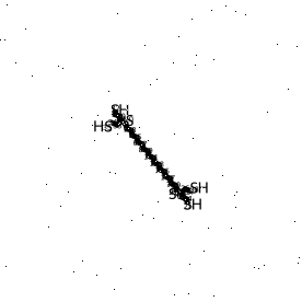 S=C(CCCCCCCCCCCCCCCCCCC(=S)N(CCS)CCS)N(CCS)CCS